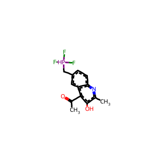 CC(=O)c1c(O)c(C)nc2ccc(C[PH](F)(F)F)cc12